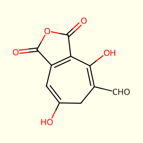 O=CC1=C(O)C2=C(C=C(O)C1)C(=O)OC2=O